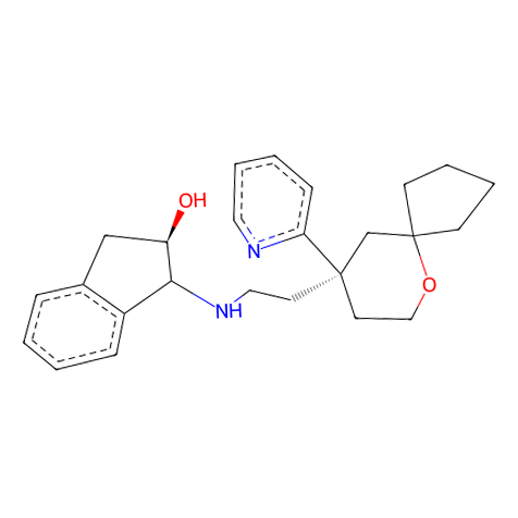 O[C@@H]1Cc2ccccc2C1NCC[C@@]1(c2ccccn2)CCOC2(CCCC2)C1